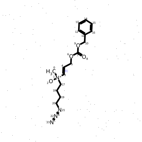 C[N+]([O-])(/C=C/COC(=O)OCc1ccccc1)CCCCN=[N+]=[N-]